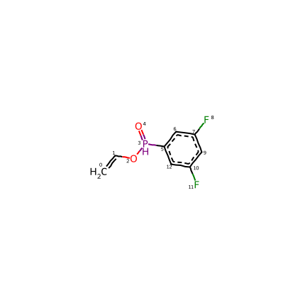 C=CO[PH](=O)c1cc(F)cc(F)c1